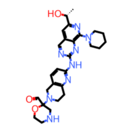 C[C@@H](O)c1cc2cnc(Nc3ccc4c(n3)CCN(C3(C=O)CNCCO3)C4)nc2c(N2CCCCC2)n1